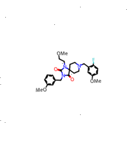 COCCN1C(=O)N(Cc2cccc(OC)c2)C(=O)C12CCN(Cc1cc(OC)ccc1F)CC2